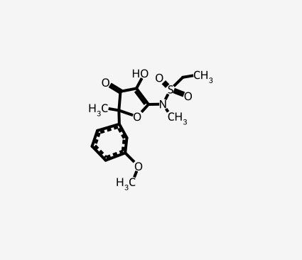 CCS(=O)(=O)N(C)C1=C(O)C(=O)C(C)(c2cccc(OC)c2)O1